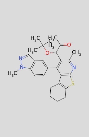 CC(=O)[C@@H](OC(C)(C)C)c1c(C)nc2sc3c(c2c1-c1ccc2c(cnn2C)c1)CCCC3